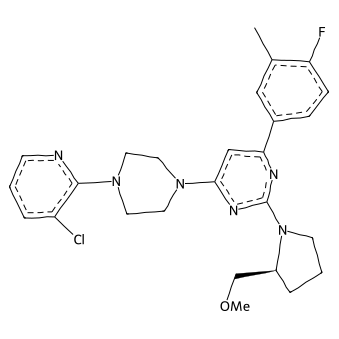 COC[C@@H]1CCCN1c1nc(-c2ccc(F)c(C)c2)cc(N2CCN(c3ncccc3Cl)CC2)n1